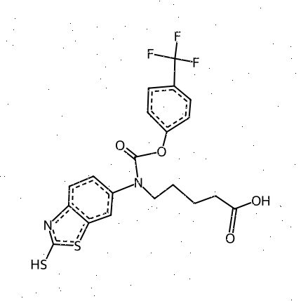 O=C(O)CCCCN(C(=O)Oc1ccc(C(F)(F)F)cc1)c1ccc2nc(S)sc2c1